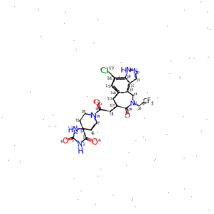 O=C1NC(=O)C2(CCN(C(=O)CC3Cc4cc(Cl)c5[nH]ncc5c4CN(CC(F)(F)F)C3=O)CC2)N1